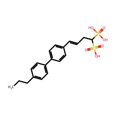 CCCc1ccc(-c2ccc(C=CCC(P(=O)(O)O)S(=O)(=O)O)cc2)cc1